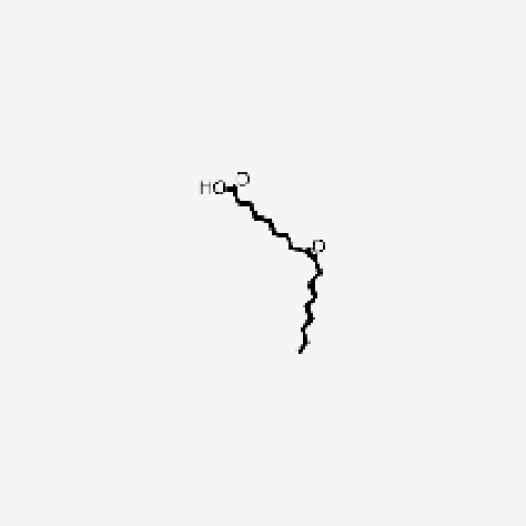 CCCCCC=CCC1OC1CCCCCCCC(=O)O